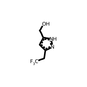 OCc1cc(CC(F)(F)F)n[nH]1